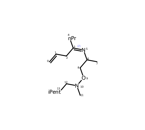 C=CC/C(CCC)=N\C(C)CON(C)CC(C)CCC